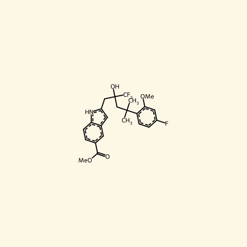 COC(=O)c1ccc2[nH]c(CC(O)(CC(C)(C)c3ccc(F)cc3OC)C(F)(F)F)cc2c1